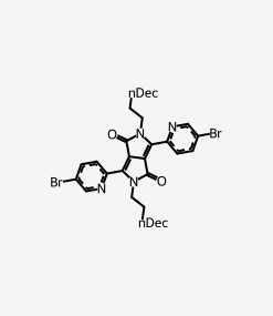 CCCCCCCCCCCCN1C(=O)C2=C(c3ccc(Br)cn3)N(CCCCCCCCCCCC)C(=O)C2=C1c1ccc(Br)cn1